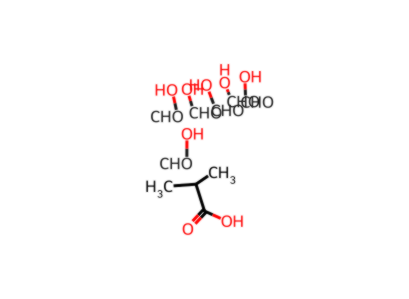 CC(C)C(=O)O.O=CO.O=CO.O=CO.O=CO.O=CO.O=CO